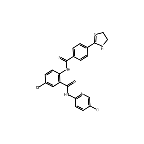 O=C(Nc1ccc(Cl)cc1C(=O)Nc1ccc(Cl)cn1)c1ccc(C2=NCCN2)cc1